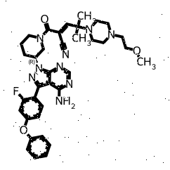 COCCN1CCN(C(C)(C)C=C(C#N)C(=O)N2CCC[C@@H](n3nc(-c4ccc(Oc5ccccc5)cc4F)c4c(N)ncnc43)C2)CC1